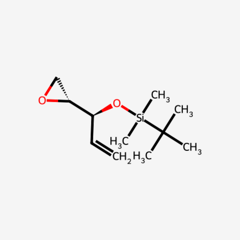 C=C[C@H](O[Si](C)(C)C(C)(C)C)[C@H]1CO1